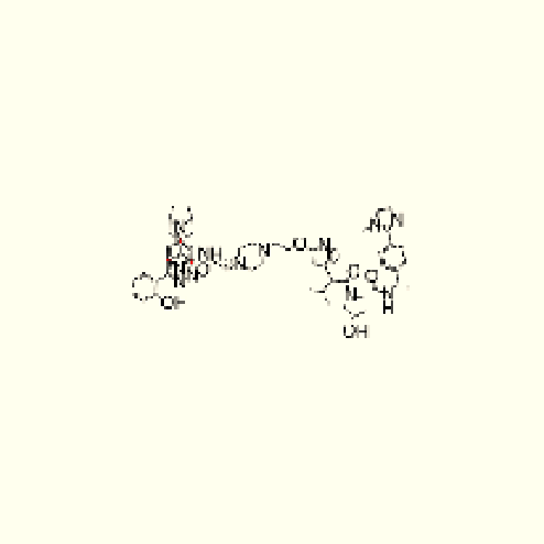 CC(C)[C@H](C(=O)N1C[C@H](O)C[C@H]1C(=O)N[C@@H](C)c1ccc(-c2nccn2C)cc1)c1cc(OCCN2CCN(CCOc3cc(N4C5CCC4CN(c4cc(-c6ccccc6O)nnc4N)C5)ccn3)CC2)no1